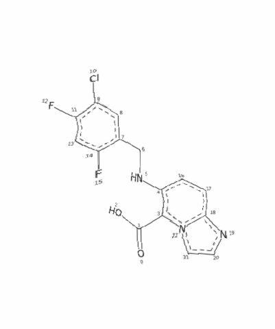 O=C(O)c1c(NCc2cc(Cl)c(F)cc2F)ccc2nccn12